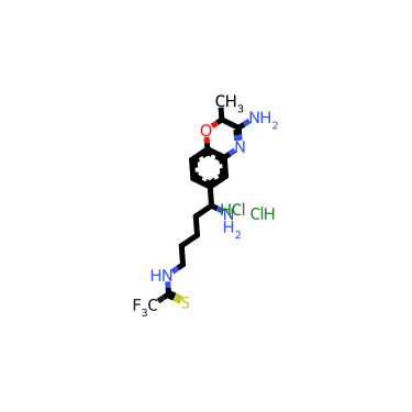 CC1Oc2ccc(C(N)CCCCNC(=S)C(F)(F)F)cc2N=C1N.Cl.Cl